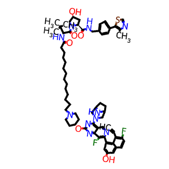 C#Cc1c(F)ccc2cc(O)cc(-c3ncc4c(N5CC6CCC(C5)N6)nc(OC5CCN(CCCCCCCCCCCCCC(=O)N[C@H](C(=O)N6C[C@H](O)C[C@H]6C(=O)NCc6ccc(-c7scnc7C)cc6)C(C)(C)C)CC5)nc4c3F)c12